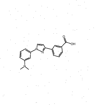 CN(C)c1cccc(-n2ccc(-c3cccc(C(=O)O)c3)n2)c1